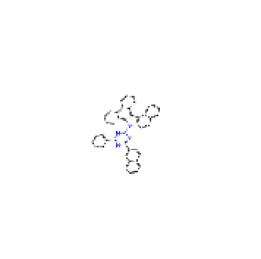 c1ccc(-c2nc(-c3ccc4ccccc4c3)nc(-n3c4ccc5ccccc5c4c4c5ccccc5c5ccccc5c43)n2)cc1